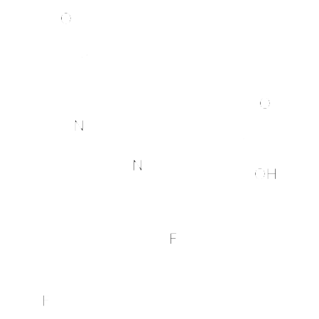 O=C1C=C2CC(C(=O)O)=CN(c3ccc(F)cc3F)C2=NC1